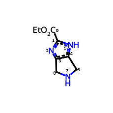 CCOC(=O)c1nc2c([nH]1)CNC2